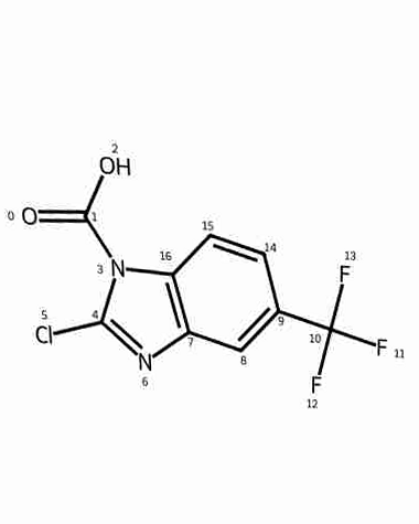 O=C(O)n1c(Cl)nc2cc(C(F)(F)F)ccc21